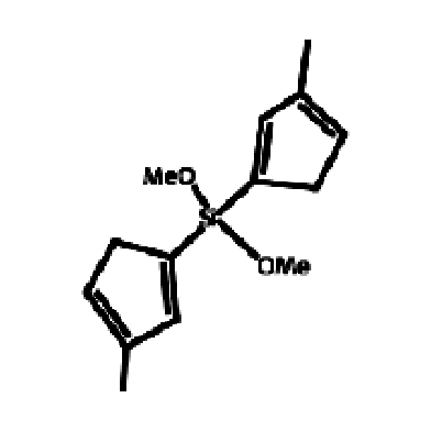 CO[Si](OC)(C1=CC(C)=CC1)C1=CC(C)=CC1